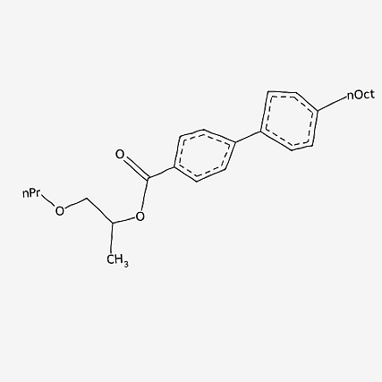 CCCCCCCCc1ccc(-c2ccc(C(=O)OC(C)COCCC)cc2)cc1